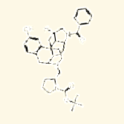 CC(C)(C)OC(=O)N1CCC[C@H]1CN1CCC23c4cc(O)ccc4CC1C21CCC2C3[C@@H](CN2C(=O)c2ccccc2)C1